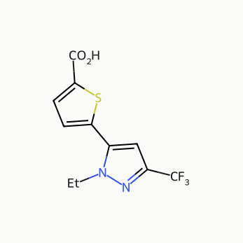 CCn1nc(C(F)(F)F)cc1-c1ccc(C(=O)O)s1